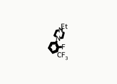 CCN1CCN(c2cccc(C(F)(F)F)c2F)CC1